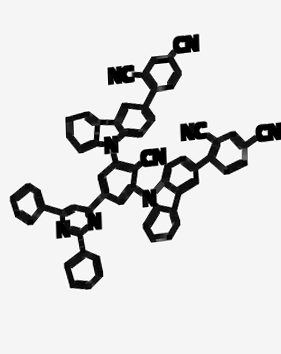 N#Cc1ccc(-c2ccc3c(c2)c2ccccc2n3-c2cc(-c3cc(-c4ccccc4)nc(-c4ccccc4)n3)cc(-n3c4ccccc4c4cc(-c5ccc(C#N)cc5C#N)ccc43)c2C#N)c(C#N)c1